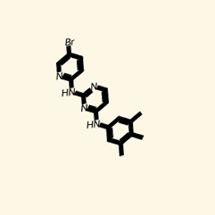 Cc1cc(Nc2ccnc(Nc3ccc(Br)cn3)n2)cc(C)c1C